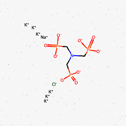 O=P([O-])([O-])CN(CP(=O)([O-])[O-])CP(=O)([O-])[O-].[Cl-].[K+].[K+].[K+].[K+].[K+].[K+].[Na+]